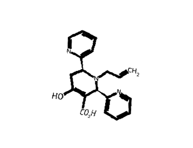 C=CCN1[C@@H](c2ccccn2)C(C(=O)O)=C(O)C[C@H]1c1ccccn1